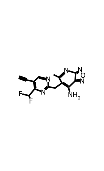 C#Cc1cnc(Cc2c(C)nc3nonc3c2N)nc1C(F)F